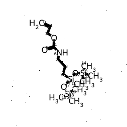 C=CCOC(=O)NCCC[Si](C)(O[Si](C)(C)C)O[Si](C)(C)C